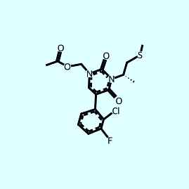 CSC[C@H](C)n1c(=O)c(-c2cccc(F)c2Cl)cn(COC(C)=O)c1=O